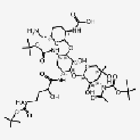 CC(=O)N(C(=O)OC(C)(C)C)[C@@H]1[C@@H](O)[C@@H](O[C@@H]2[C@@H](O)[C@H](OC3O[C@H](CN)CC[C@H]3NC(=O)O)[C@@H](NC(=O)OC(C)(C)C)C[C@H]2NC(=O)C(O)CC[AsH]C(=O)OC(C)(C)C)OC[C@]1(C)O